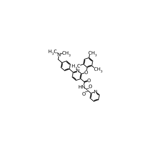 Cc1cc(C)c(Oc2nc(-c3ccc(CN(C)C)cc3)ccc2C(=O)NS(=O)(=O)c2ccccn2)c(C)c1